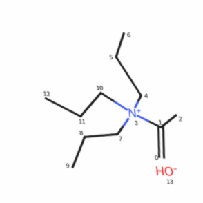 C=C(C)[N+](CCC)(CCC)CCC.[OH-]